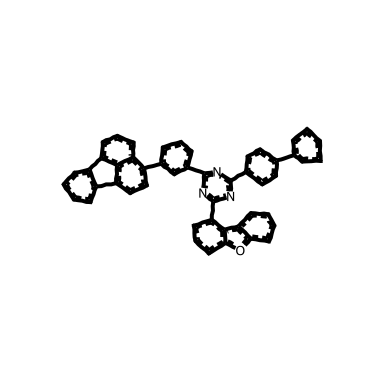 c1ccc(-c2ccc(-c3nc(-c4cccc(-c5ccc6c7c(cccc57)-c5ccccc5-6)c4)nc(-c4cccc5oc6ccccc6c45)n3)cc2)cc1